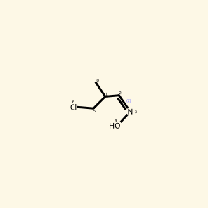 CC(/C=N\O)CCl